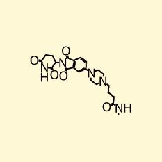 CNC(=O)CCCN1CCN(c2ccc3c(c2)C(=O)N(C2CCC(=O)NC2=O)C3=O)CC1